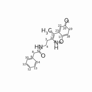 CC1=C(CCNC(=O)Cc2ccccc2)NOC2=CCC(=O)C=C21